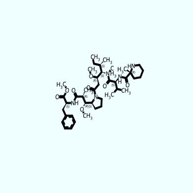 CC[C@H](C)[C@@H]([C@@H](CC(=O)N1CCC[C@H]1[C@H](OC)[C@@H](C)C(=O)N[C@@H](Cc1ccccc1)C(=O)OC)OC)N(C)C(=O)[C@@H](NC(=O)[C@@]1(C)CCCCN1)C(C)C